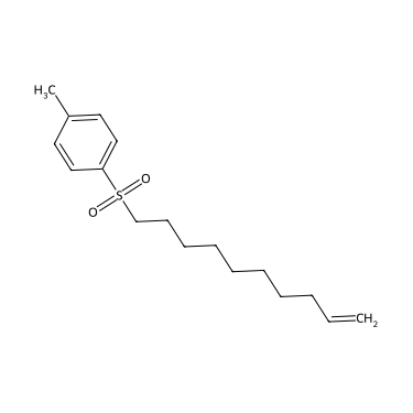 C=CCCCCCCCCS(=O)(=O)c1ccc(C)cc1